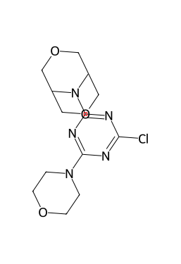 Clc1nc(N2CCOCC2)nc(N2C3COCC2COC3)n1